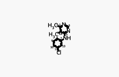 Cc1ncnc(Nc2cccc(Cl)c2)c1C